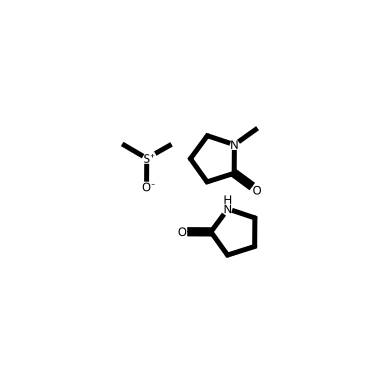 CN1CCCC1=O.C[S+](C)[O-].O=C1CCCN1